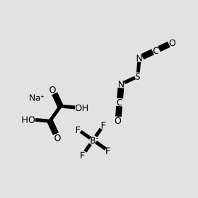 F[B-](F)(F)F.O=C(O)C(=O)O.O=C=NSN=C=O.[Na+]